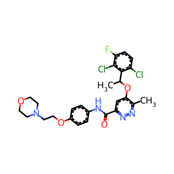 Cc1nnc(C(=O)Nc2ccc(OCCN3CCOCC3)cc2)cc1OC(C)c1c(Cl)ccc(F)c1Cl